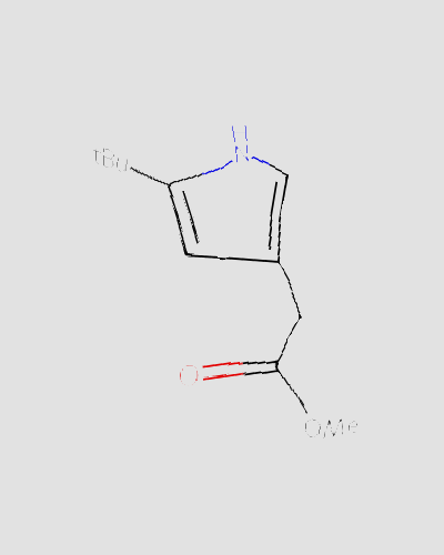 COC(=O)Cc1c[nH]c(C(C)(C)C)c1